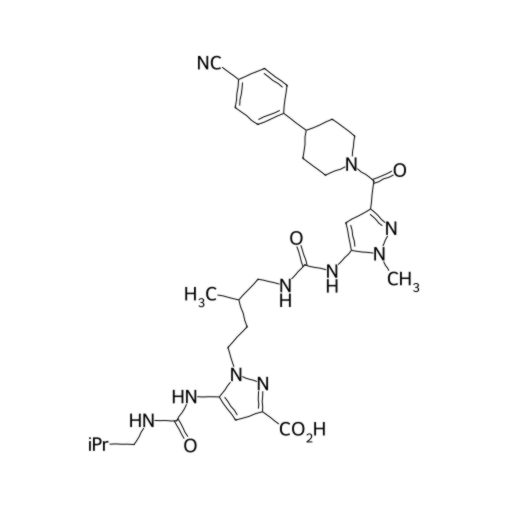 CC(C)CNC(=O)Nc1cc(C(=O)O)nn1CCC(C)CNC(=O)Nc1cc(C(=O)N2CCC(c3ccc(C#N)cc3)CC2)nn1C